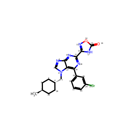 C[C@H]1CC[C@H](Cn2cnc3nc(-c4noc(=O)[nH]4)nc(-c4cccc(Br)c4)c32)CC1